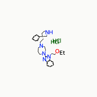 CCOCCn1c(N2CCCN(CC[C@]3(c4ccccc4)CCNC3)CC2)nc2ccccc21.Cl.Cl